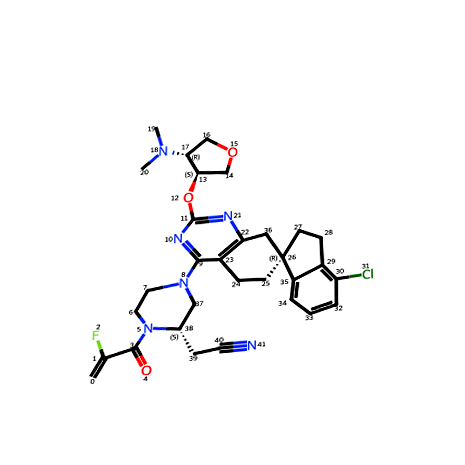 C=C(F)C(=O)N1CCN(c2nc(O[C@@H]3COC[C@H]3N(C)C)nc3c2CC[C@@]2(CCc4c(Cl)cccc42)C3)C[C@@H]1CC#N